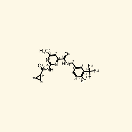 Cc1cc(C(=O)NCc2ccc(F)c(C(F)(F)F)c2)nc(NC(=O)C2CC2)n1